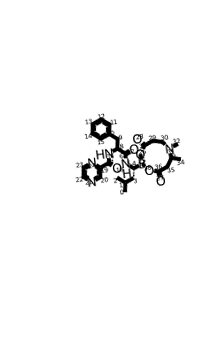 CC(C)C[C@H](NC(=O)C(Cc1ccccc1)NC(=O)c1cnccn1)B1OC(=O)CCN(C)C(C)CC(=O)O1